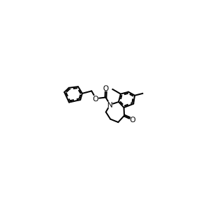 Cc1cc(C)c2c(c1)C(=O)CCCN2C(=O)OCc1ccccc1